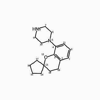 c1cc2c(c(N3CCNCC3)c1)OC1(CCCC1)CC2